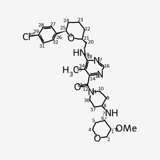 CO[C@@H]1COCC[C@@H]1NC1CCN(C(=O)c2ncnc(NC[C@@H]3CCC[C@H](c4ccc(Cl)cc4)O3)c2C)CC1